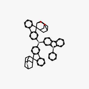 c1ccc(-n2c3ccccc3c3ccc(N(c4ccc5c(c4)-c4ccccc4C54C5CCC6CC(C5)CC4C6)c4ccc5c(c4)C4(c6ccccc6-5)C5CCC6CC(C5)CC4C6)cc32)cc1